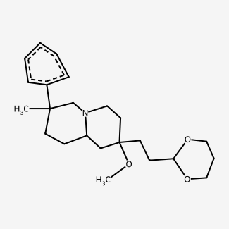 COC1(CCC2OCCCO2)CCN2CC(C)(c3ccccc3)CCC2C1